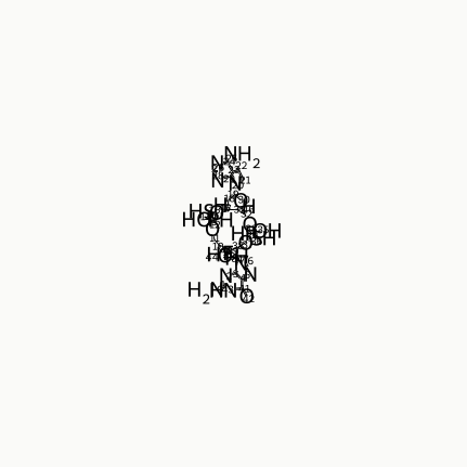 Nc1nc2c(ncn2[C@@H]2O[C@@H]3CO[PH](O)(S)O[C@H]4C[C@H](n5ccc6c(N)ncnc65)O[C@@H]4CO[PH](O)(S)O[C@@H]2[C@@H]3F)c(=O)[nH]1